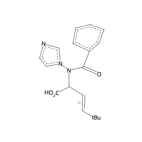 CC(C)(C)/C=C/C(C(=O)O)N(C(=O)c1ccccc1)n1ccnc1